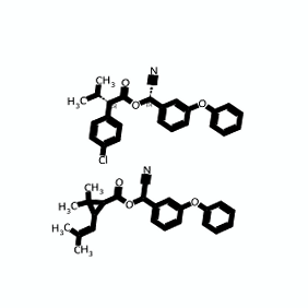 CC(C)=CC1C(C(=O)OC(C#N)c2cccc(Oc3ccccc3)c2)C1(C)C.CC(C)[C@H](C(=O)O[C@H](C#N)c1cccc(Oc2ccccc2)c1)c1ccc(Cl)cc1